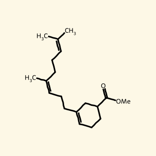 COC(=O)C1CCC=C(CCC=C(C)CCC=C(C)C)C1